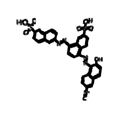 [C-]#[N+]c1ccc2c(/N=N/c3ccc(/N=N/c4ccc5cc(S(=O)(=O)O)ccc5c4)c4cc(S(=O)(=O)O)ccc34)c(O)ccc2c1